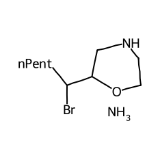 CCCCCC(Br)C1CNCCO1.N